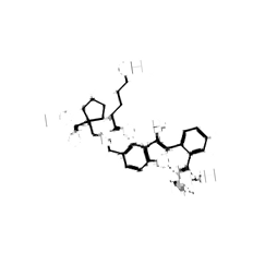 CCCCCC(=O)N(Cc1ccc2oc(-c3ccccc3-c3nnn[nH]3)c(Br)c2c1)CC1(C(=O)O)CCCC1